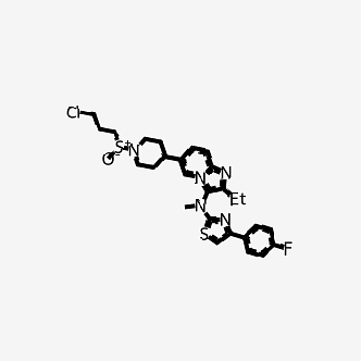 CCc1nc2ccc(C3CCN([S+]([O-])CCCCl)CC3)cn2c1N(C)c1nc(-c2ccc(F)cc2)cs1